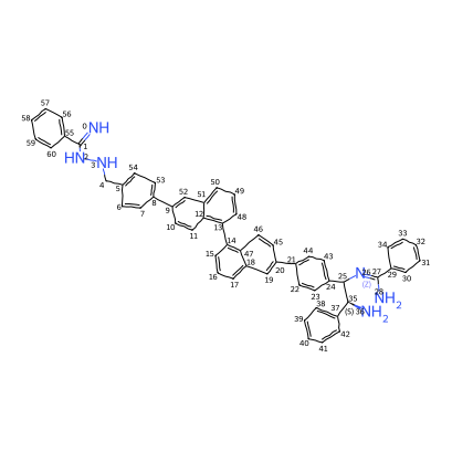 N=C(NNCc1ccc(-c2ccc3c(-c4cccc5cc(-c6ccc(C(/N=C(\N)c7ccccc7)[C@@H](N)c7ccccc7)cc6)ccc45)cccc3c2)cc1)c1ccccc1